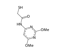 COc1cc(NC(=O)CS)nc(OC)n1